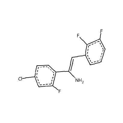 N/C(=C\c1cccc(F)c1F)c1ccc(Cl)cc1F